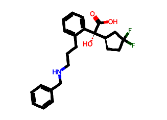 O=C(O)[C@](O)(c1ccccc1CCCNCc1ccccc1)[C@@H]1CCC(F)(F)C1